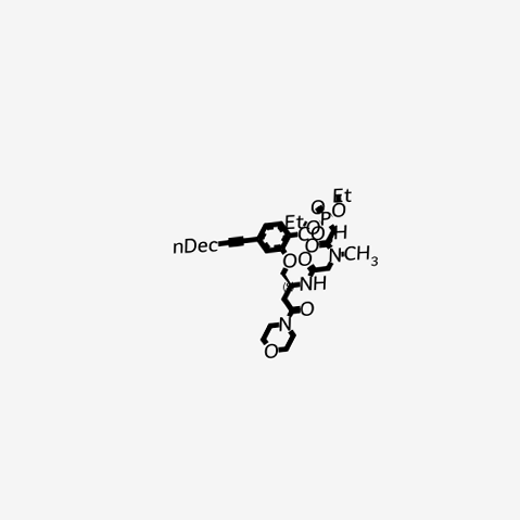 CCCCCCCCCCC#Cc1ccc(C(=O)O)c(OC[C@H](CC(=O)N2CCOCC2)NC(=O)CN(C)C(=O)CP(=O)(OCC)OCC)c1